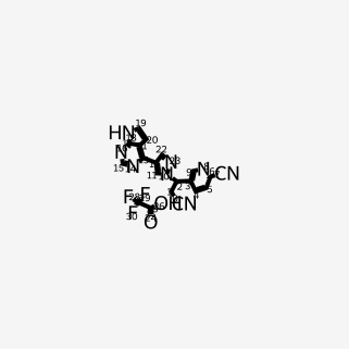 N#CCC(c1ccc(C#N)nc1)n1cc(-c2ncnc3[nH]ccc23)cn1.O=C(O)C(F)(F)F